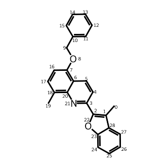 Cc1c(-c2ccc3c(OCc4ccccc4)ccc(C)c3n2)oc2ccccc12